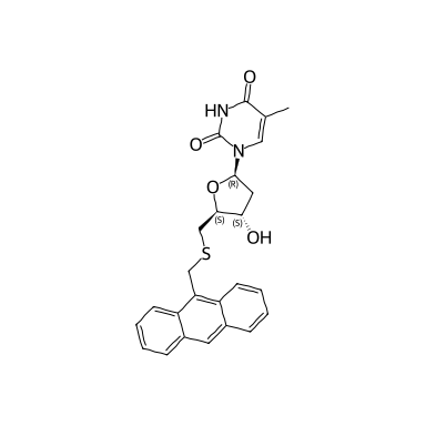 Cc1cn([C@H]2C[C@H](O)[C@@H](CSCc3c4ccccc4cc4ccccc34)O2)c(=O)[nH]c1=O